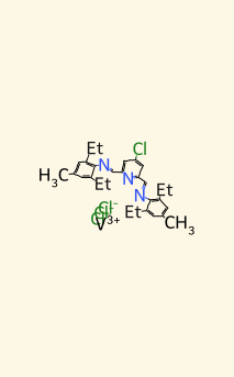 CCc1cc(C)cc(CC)c1N=Cc1cc(Cl)cc(C=Nc2c(CC)cc(C)cc2CC)n1.[Cl-].[Cl-].[Cl-].[V+3]